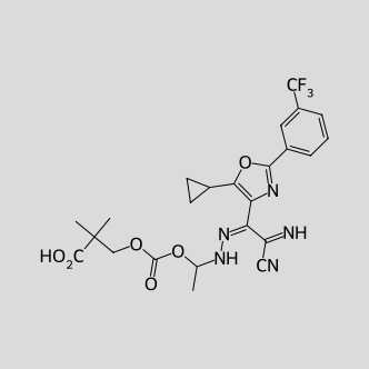 CC(N/N=C(\C(=N)C#N)c1nc(-c2cccc(C(F)(F)F)c2)oc1C1CC1)OC(=O)OCC(C)(C)C(=O)O